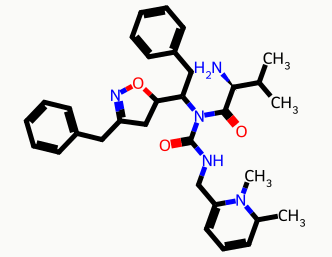 CC(C)[C@H](N)C(=O)N(C(=O)NCC1=CC=CC(C)N1C)C(Cc1ccccc1)C1CC(Cc2ccccc2)=NO1